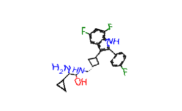 N[C@H](C1CC1)C(O)NC[C@H]1C[C@H](c2c(-c3ccc(F)cc3)[nH]c3c(F)cc(F)cc32)C1